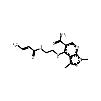 Cc1nn(C)c2ncc(C(N)=O)c(NCCNC(=O)C=CC(F)(F)F)c12